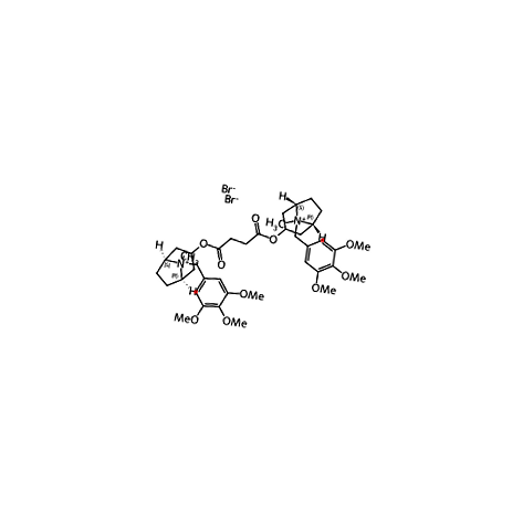 COc1cc(C[N+]2(C)[C@@H]3CC[C@H]2CC(OC(=O)CCC(=O)OC2C[C@H]4CC[C@@H](C2)[N+]4(C)Cc2cc(OC)c(OC)c(OC)c2)C3)cc(OC)c1OC.[Br-].[Br-]